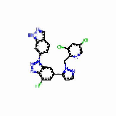 Clc1cnc(Cn2nccc2-c2cc(Cl)c3nnn(-c4ccc5cn[nH]c5c4)c3c2)c(Cl)c1